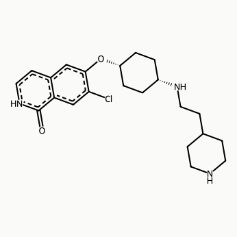 O=c1[nH]ccc2cc(O[C@H]3CC[C@@H](NCCC4CCNCC4)CC3)c(Cl)cc12